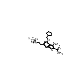 CS(=O)(=O)NCCc1cc(OCC2CCCC2)c2c(N)c(C(N)=O)sc2c1